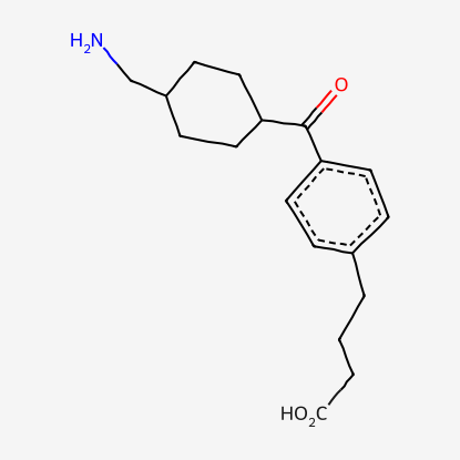 NCC1CCC(C(=O)c2ccc(CCCC(=O)O)cc2)CC1